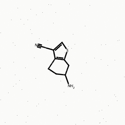 N#Cc1csc2c1CCC(N)C2